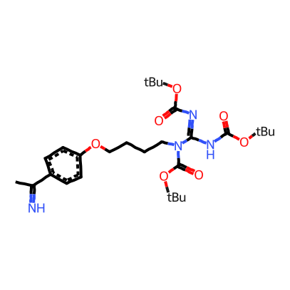 CC(=N)c1ccc(OCCCCN(C(=O)OC(C)(C)C)/C(=N\C(=O)OC(C)(C)C)NC(=O)OC(C)(C)C)cc1